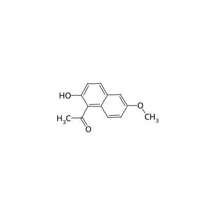 COc1ccc2c(C(C)=O)c(O)ccc2c1